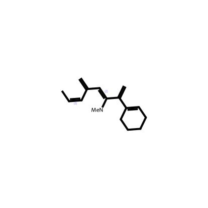 C=C(/C=C\C)/C=C(\NC)C(=C)C1=CCCCC1